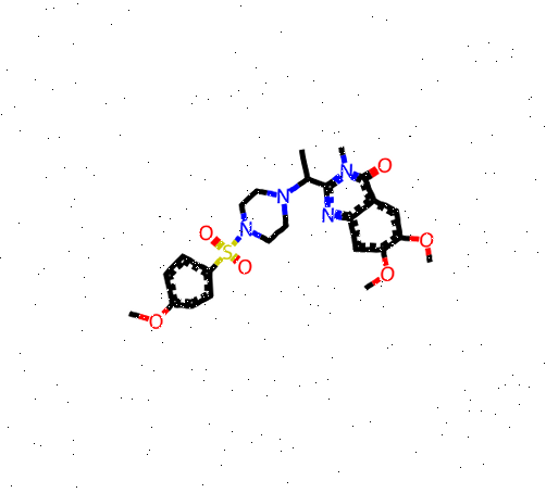 COc1ccc(S(=O)(=O)N2CCN(C(C)c3nc4cc(OC)c(OC)cc4c(=O)n3C)CC2)cc1